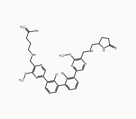 C=C(O)CCCNCc1ncc(-c2cccc(-c3cccc(-c4cnc(CNCC5CCC(=O)N5)c(OC)n4)c3Cl)c2Cl)nc1OC